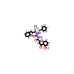 CC(c1cc2ccccc2s1)N(OCc1ccccc1)C(=O)NC(=O)c1cc(=O)c2c(O)cccc2o1